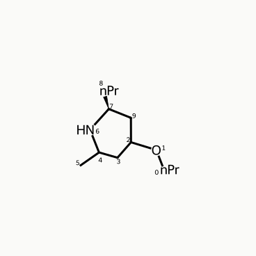 CCCOC1CC(C)N[C@@H](CCC)C1